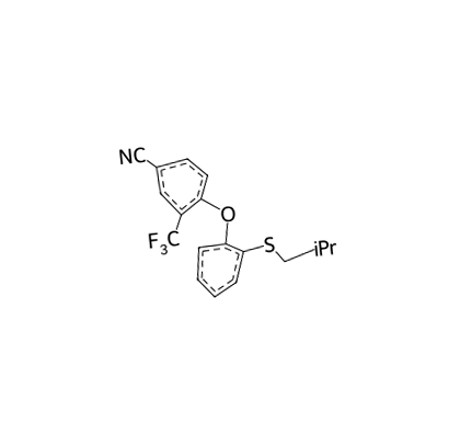 CC(C)CSc1ccccc1Oc1ccc(C#N)cc1C(F)(F)F